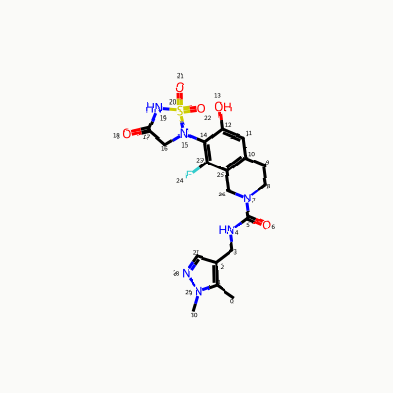 Cc1c(CNC(=O)N2CCc3cc(O)c(N4CC(=O)NS4(=O)=O)c(F)c3C2)cnn1C